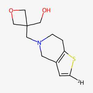 [2H]c1cc2c(s1)CCN(CC1(CO)COC1)C2